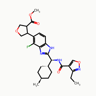 CCc1nocc1C(=O)N[C@H](c1nc2c(F)c(C3COCC3C(=O)OC)ccc2[nH]1)[C@H]1CC[C@H](C)CC1